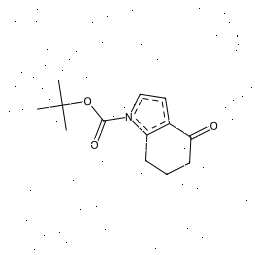 CC(C)(C)OC(=O)n1ccc2c1CCCC2=O